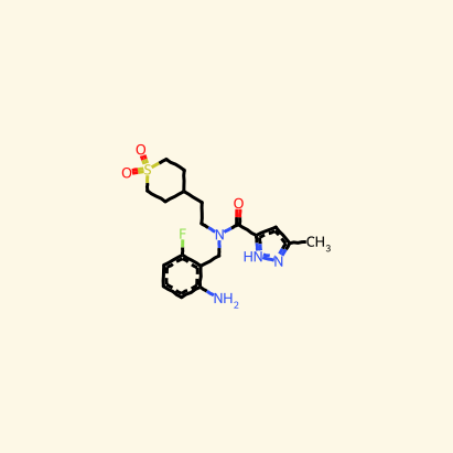 Cc1cc(C(=O)N(CCC2CCS(=O)(=O)CC2)Cc2c(N)cccc2F)[nH]n1